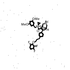 COc1cc(CN(C(=O)C2=C(c3ccc(CCCOc4c(F)ccc(F)c4F)cc3)C[C@@H]3CN(C(C)=O)C[C@H]2N3)C2CC2)cc(OC)c1